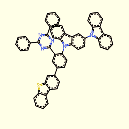 c1ccc(-c2nc(-c3ccccc3)nc(-c3cc(-c4ccc5c(c4)sc4ccccc45)ccc3-n3c4ccccc4c4cc(-n5c6ccccc6c6ccccc65)ccc43)n2)cc1